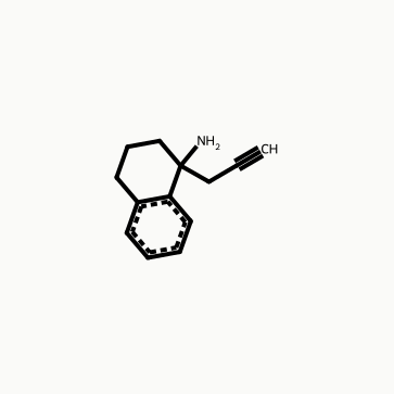 C#CCC1(N)CCCc2ccccc21